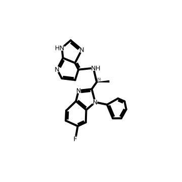 C[C@H](Nc1ccnc2[nH]cnc12)c1nc2ccc(F)cc2n1-c1ccccc1